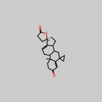 CC12CCC(=O)C=C1C1(CC1)CC1C3CC[C@@]4(CCC(=O)O4)C3=CCC12